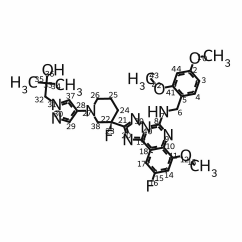 COc1ccc(CNc2nc3c(OC)cc(F)cc3c3nc([C@@]4(F)CCCN(c5cnn(CC(C)(C)O)c5)C4)nn23)c(OC)c1